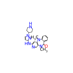 CN1C(=O)c2ccccc2N(C)c2cc(Nc3ccn(C4CCNCC4)n3)ncc21